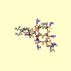 CO[Si@]1(P=N)O[Si]2(P=N)O[Si](O[SiH](C)C)(P=N)O[Si]3(P=N)O[Si](O[Si](C)(C)O[Si](C)(C)C)(P=N)O[Si@@](P=N)(O[Si](P=N)(O3)O2)O1